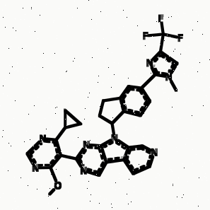 COc1ncnc(C2CC2)c1-c1ncc2c3ccncc3n(C3CCc4cc(-c5nc(C(F)(F)F)cn5C)ccc43)c2n1